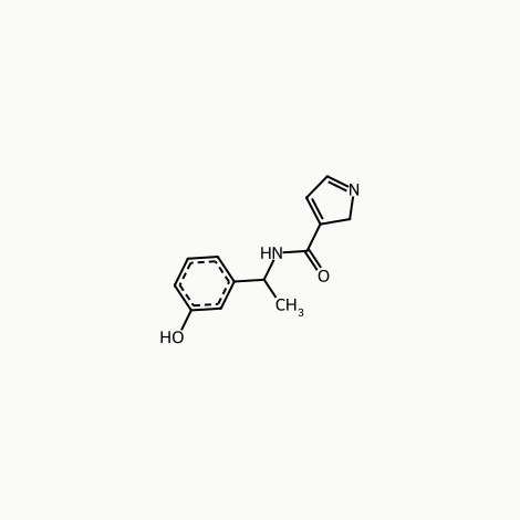 CC(NC(=O)C1=CC=NC1)c1cccc(O)c1